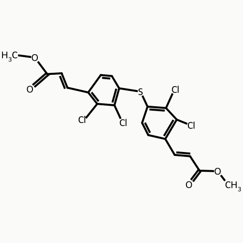 COC(=O)/C=C/c1ccc(Sc2ccc(/C=C/C(=O)OC)c(Cl)c2Cl)c(Cl)c1Cl